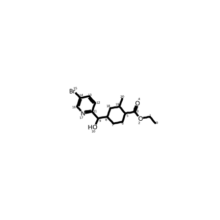 CCOC(=O)C1CCC(C(O)c2ccc(Br)cn2)CC1C